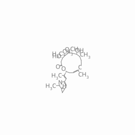 CC1=NC(/C=C(\C)[C@@H]2C/C=C(/C)CCC[C@H](C)[C@H](O)[C@@H](C)C(=O)C(C)(C)[C@@H](O)CC(=O)O2)=CC2C[C@H]12